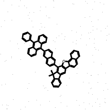 CC1(C)c2ccccc2-c2cc3c(oc4c5ccccc5ccc34)c(-c3ccc4cc(-c5c6ccccc6c(-c6ccccc6)c6ccccc56)ccc4c3)c21